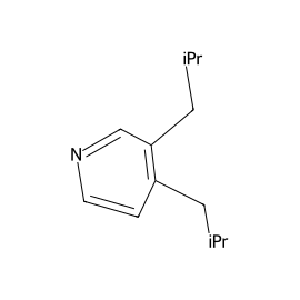 CC(C)Cc1ccncc1CC(C)C